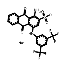 Nc1c(S(=O)(=O)[O-])cc(Nc2cc(C(F)(F)F)cc(C(F)(F)F)c2)c2c1C(=O)c1ccccc1C2=O.[Na+]